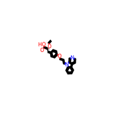 CCO[C@@H](Cc1ccc(OCCCn2c3ccccc3c3ccncc32)cc1)C(=O)O